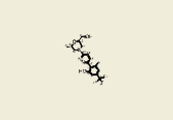 Cc1cc(C(F)(F)F)cc(O)c1-c1ccc(N2C[C@H](CO)O[C@H](C)C2)nn1